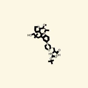 CCn1c(-c2cccnc2[C@H](C)OC)c(CC(C)(C)CO)c2cc(N3CCO[C@@H](CC(NC(=O)OC(C)(C)C)C(=O)O)C3)ccc21